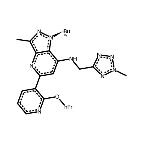 CCCOc1ncccc1-c1cc(NCc2nnn(C)n2)c2c(n1)c(C)nn2[C@H](C)CC